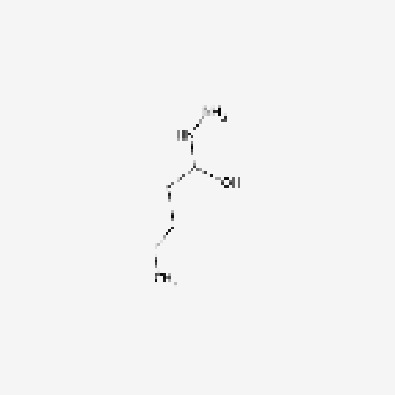 CCCCC(O)NN